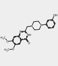 COc1cc2nc(CN3CCN(c4cccc(O)c4)CC3)[nH]c(=O)c2cc1OC